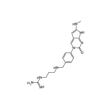 CNc1cc2cn(-c3ccc(CNCCCNC(=N)N)cc3)c(=O)nc2[nH]1